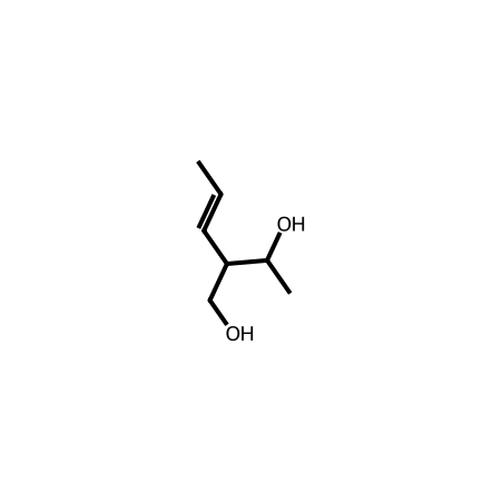 CC=CC(CO)C(C)O